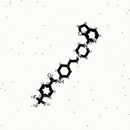 O=C(NC1CCC(CCN2CCN(c3nccc4c3OCC4)CC2)CC1)c1ccc(C(F)(F)F)cc1